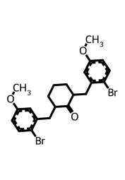 COc1ccc(Br)c(CC2CCCC(Cc3cc(OC)ccc3Br)C2=O)c1